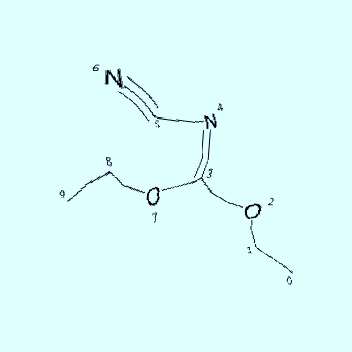 CCOC(=NC#N)OCC